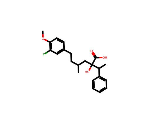 COc1ccc(CCC(C)CC(O)(C(=O)O)C(C)c2ccccc2)cc1F